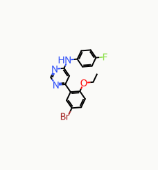 CCOc1ccc(Br)cc1-c1cc(Nc2ccc(F)cc2)ncn1